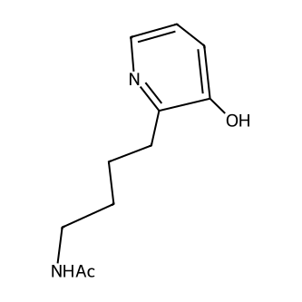 CC(=O)NCCCCc1ncccc1O